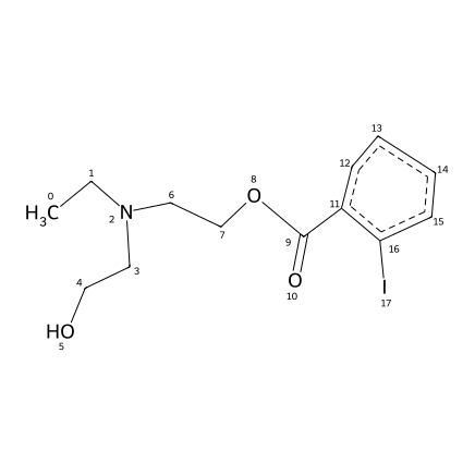 CCN(CCO)CCOC(=O)c1ccccc1I